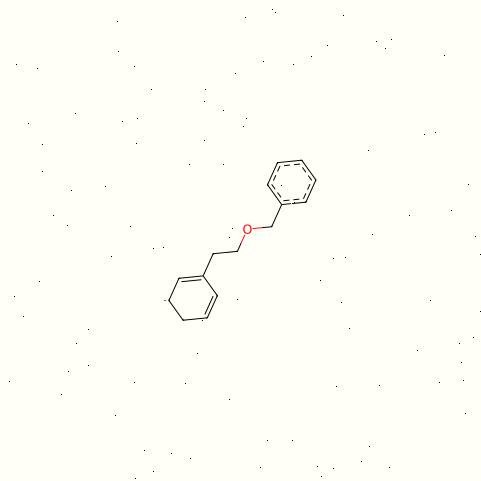 [CH]1C=C(CCOCc2ccccc2)C=CC1